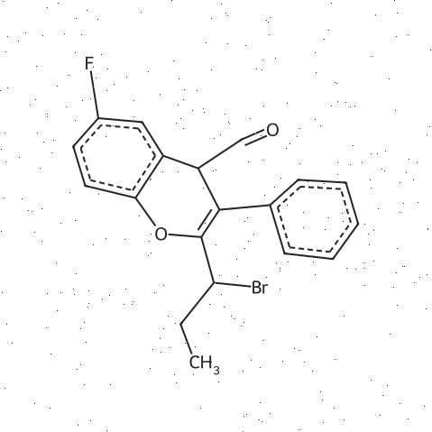 CCC(Br)C1=C(c2ccccc2)C(C=O)c2cc(F)ccc2O1